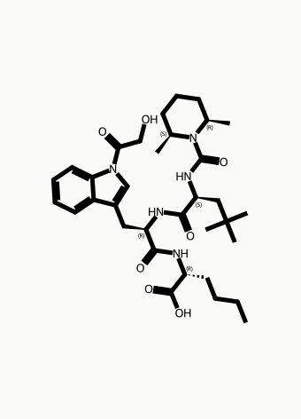 CCCC[C@@H](NC(=O)[C@@H](Cc1cn(C(=O)CO)c2ccccc12)NC(=O)[C@H](CC(C)(C)C)NC(=O)N1[C@H](C)CCC[C@@H]1C)C(=O)O